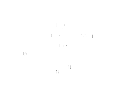 Cc1cc(C(C)(C)C)cc(C)c1CC1=NCCN1.O=C(O)CC(O)(CC(=O)O)C(=O)O